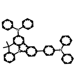 CC1(C)c2ccccc2-n2c3ccc(-c4ccc(N(c5ccccc5)c5ccccc5)cc4)cc3c3cc(N(c4ccccc4)c4ccccc4)cc1c32